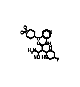 NC(N=O)C(C(=O)Nc1cnccc1OC1CCS(=O)(=O)CC1)C1NCC(F)CN1